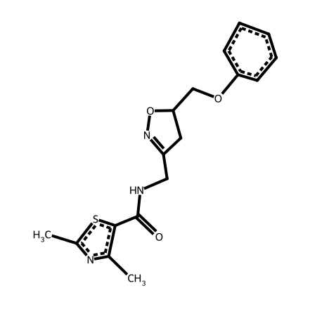 Cc1nc(C)c(C(=O)NCC2=NOC(COc3ccccc3)C2)s1